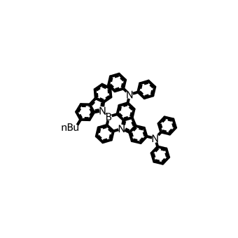 CCCCc1ccc2c3ccccc3n(B3c4ccccc4-n4c5ccc(N(c6ccccc6)c6ccccc6)cc5c5cc(N(c6ccccc6)c6ccccc6)cc3c54)c2c1